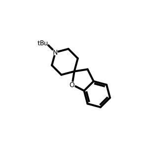 CC(C)(C)N1CCC2(CC1)Cc1ccccc1O2